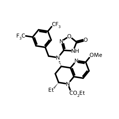 CCOC(=O)N1c2ccc(OC)nc2[C@@H](N(Cc2cc(C(F)(F)F)cc(C(F)(F)F)c2)c2noc(=O)[nH]2)C[C@H]1CC